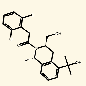 C[C@H]1c2cccc(C(C)(C)O)c2C[C@H](CO)N1C(=O)Cc1c(Cl)cccc1Cl